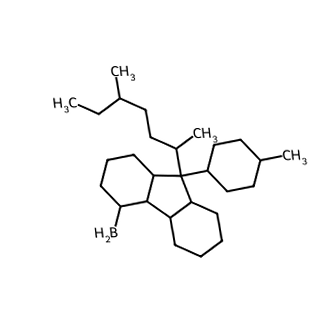 BC1CCCC2C1C1CCCCC1C2(C(C)CCC(C)CC)C1CCC(C)CC1